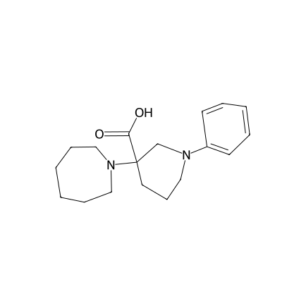 O=C(O)C1(N2CCCCCC2)CCCN(c2ccccc2)C1